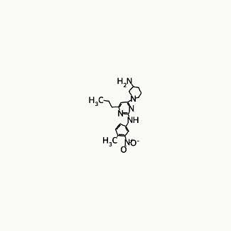 CCCc1cc(N2CCCC(N)C2)nc(Nc2ccc(C)c([N+](=O)[O-])c2)n1